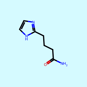 NC(=O)CCCc1ncc[nH]1